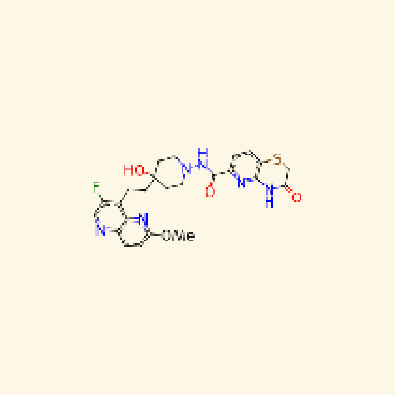 COc1ccc2ncc(F)c(CCC3(O)CCN(NC(=O)c4ccc5c(n4)NC(=O)CS5)CC3)c2n1